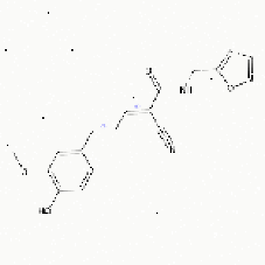 COc1cc(/C=C/C=C(\C#N)C(=O)NCc2ccco2)ccc1O